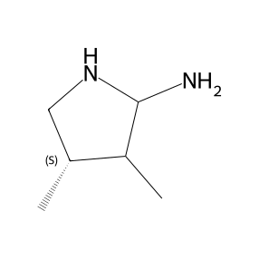 CC1C(N)NC[C@H]1C